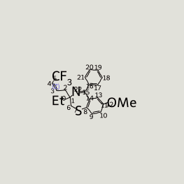 CCC1(C/C=C\C(F)(F)F)CSc2ccc(OC)cc2C(c2ccccc2)=N1